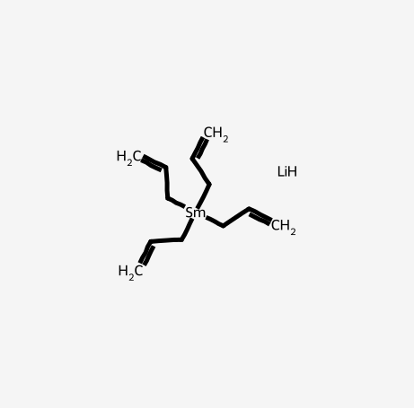 C=C[CH2][Sm]([CH2]C=C)([CH2]C=C)[CH2]C=C.[LiH]